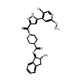 COc1cc(-c2cc(C(=O)N3CCC(C(=O)N=C4c5ccccc5CC4O)CC3)n[nH]2)c(Cl)cn1